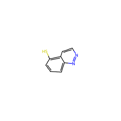 Sc1cccc2nnccc12